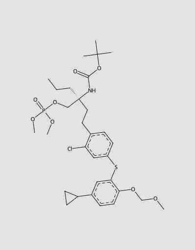 CCC[C@](CCc1ccc(Sc2cc(C3CC3)ccc2OCOC)cc1Cl)(COP(=O)(OC)OC)NC(=O)OC(C)(C)C